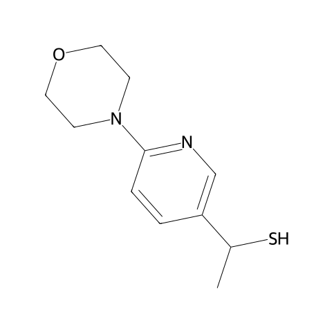 CC(S)c1ccc(N2CCOCC2)nc1